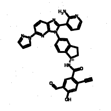 C#Cc1cc(O)c(C=O)cc1C(=O)N[C@H]1CCc2cc(-n3c(-c4cccnc4N)nc4ccc(-n5cccn5)nc43)ccc21